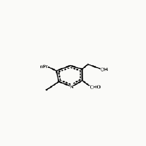 CCCc1cc(CO)c(C=O)nc1C